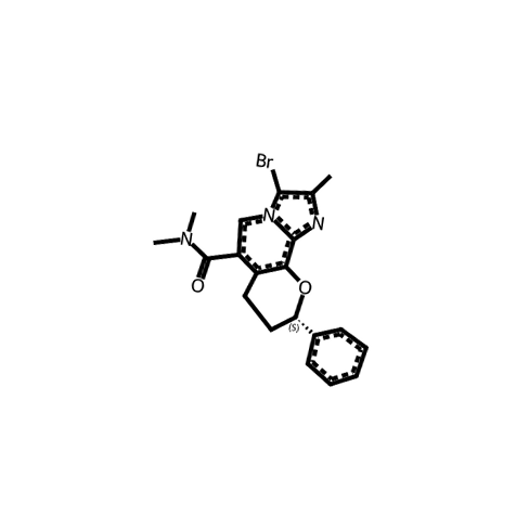 Cc1nc2c3c(c(C(=O)N(C)C)cn2c1Br)CC[C@@H](c1ccccc1)O3